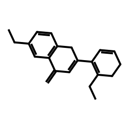 C=C1C=C(C2=C(CC)CCC=C2)Cc2ccc(CC)cc21